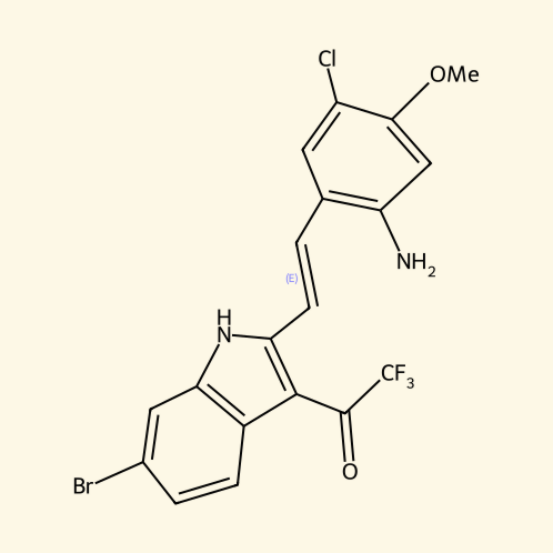 COc1cc(N)c(/C=C/c2[nH]c3cc(Br)ccc3c2C(=O)C(F)(F)F)cc1Cl